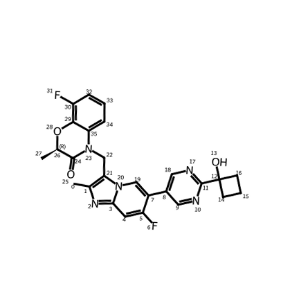 Cc1nc2cc(F)c(-c3cnc(C4(O)CCC4)nc3)cn2c1CN1C(=O)[C@@H](C)Oc2c(F)cccc21